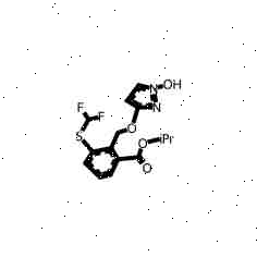 CC(C)OC(=O)c1cccc(SC(F)F)c1COc1ccn(O)n1